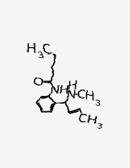 CC=CC(NC)c1ccccc1NC(=O)CCCC